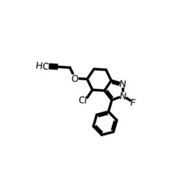 C#CCOC1CCc2nn(F)c(-c3ccccc3)c2C1Cl